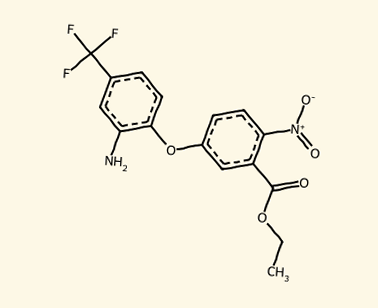 CCOC(=O)c1cc(Oc2ccc(C(F)(F)F)cc2N)ccc1[N+](=O)[O-]